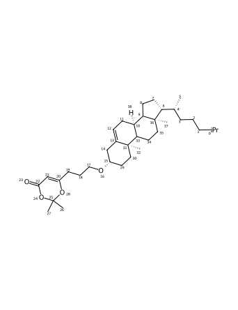 CC(C)CCC[C@@H](C)[C@H]1CCC2[C@@H]3CC=C4C[C@@H](OCCCC5=CC(=O)OC(C)(C)O5)CC[C@]4(C)C3CC[C@@]21C